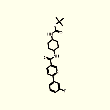 CC(C)(C)OC(=O)NC1CCC(NC(=O)c2ccc(-c3cccc(F)c3)nc2)CC1